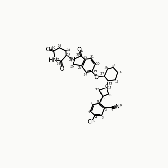 N#Cc1cc(Cl)ccc1C1CN([C@@H]2CCCC[C@@H]2Oc2ccc3c(c2)CN([C@@H]2CCC(=O)NC2=O)C3=O)C1